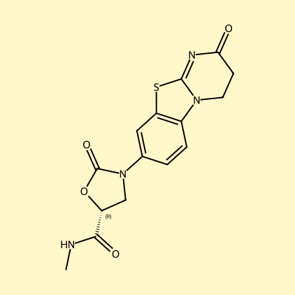 CNC(=O)[C@H]1CN(c2ccc3c(c2)SC2=NC(=O)CCN23)C(=O)O1